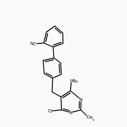 CCCCc1nc(C)nc(Cl)c1Cc1ccc(-c2ccccc2C#N)cc1